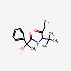 CCC(=O)C(NC(=O)C(C)(O)c1ccccc1)C(C)(C)C